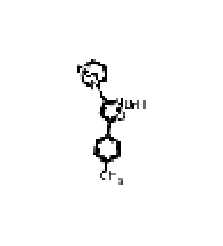 Br.Cc1ccc(-c2cc(N3CCN4CCC3CC4)no2)cc1